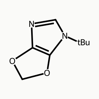 CC(C)(C)n1cnc2c1OCO2